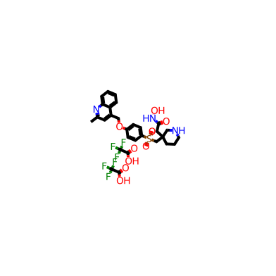 Cc1cc(COc2ccc(S(=O)(=O)CC3(CC(=O)NO)CCCNC3)cc2)c2ccccc2n1.O=C(O)C(F)(F)F.O=C(O)C(F)(F)F